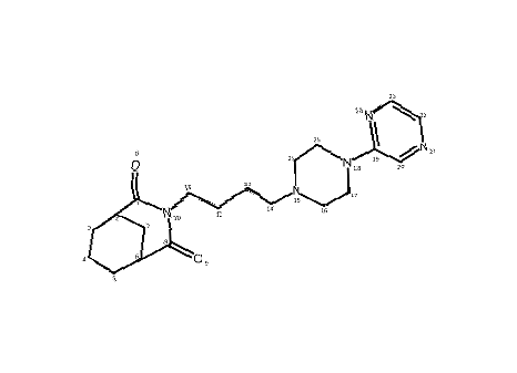 O=C1C2CCCC(C2)C(=O)N1CCCCN1CCN(c2cnccn2)CC1